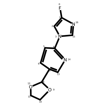 Fc1cn(-c2ccc(C3OCCO3)cn2)cn1